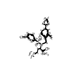 NC(=O)C(CCC(F)(F)F)N(Cc1ccc(-c2ncon2)cc1F)S(=O)(=O)c1ccc(Cl)s1